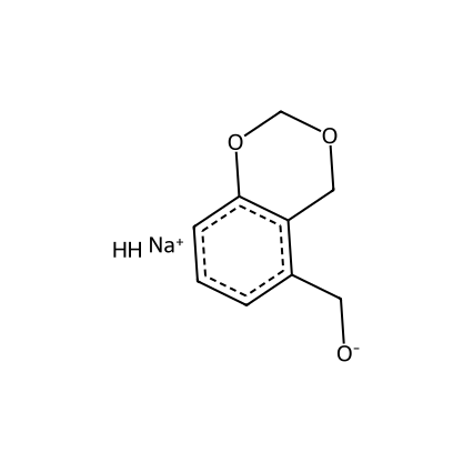 [HH].[Na+].[O-]Cc1cccc2c1COCO2